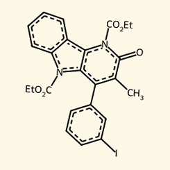 CCOC(=O)n1c(=O)c(C)c(-c2cccc(I)c2)c2c1c1ccccc1n2C(=O)OCC